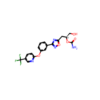 NC(=O)O[C@H](CO)Cc1nc(-c2cccc(Oc3ccc(C(F)(F)F)cn3)c2)no1